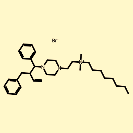 C=CC(Cc1ccccc1)C(c1ccccc1)N1CCN(CC[N+](C)(C)CCCCCCCC)CC1.[Br-]